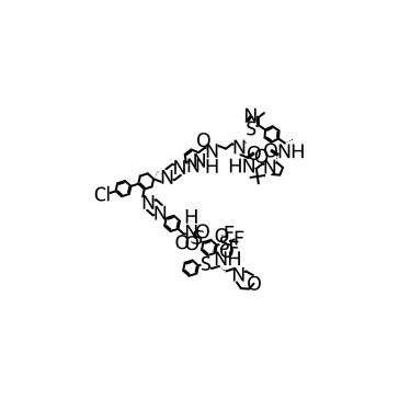 Cc1ncsc1-c1ccc([C@H](C)NC(=O)[C@@H]2CCCN2C(=O)[C@@H](NC(=O)CN(C)CCCNC(=O)c2ccc(N3CCN(C[C@]4(C)CCC(c5ccc(Cl)cc5)=C(CN5CCN(c6ccc(C(=O)NS(=O)(=O)c7ccc(N[C@H](CCN8CCCOCC8)CSc8ccccc8)c(S(=O)(=O)C(F)(F)F)c7)cc6)CC5)C4)CC3)nn2)C(C)(C)C)cc1